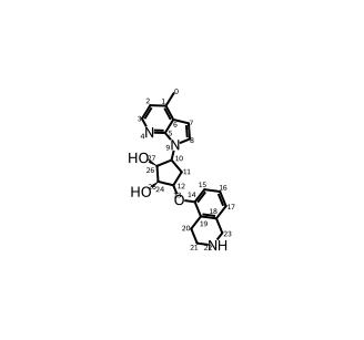 Cc1ccnc2c1ccn2C1CC(Oc2cccc3c2CCNC3)[C@@H](O)[C@H]1O